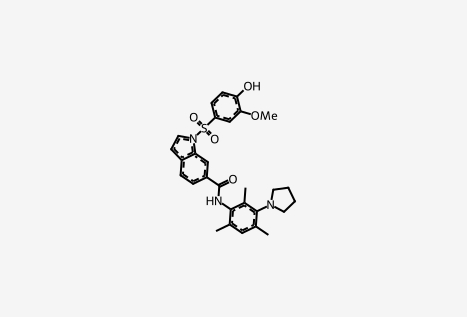 COc1cc(S(=O)(=O)n2ccc3ccc(C(=O)Nc4c(C)cc(C)c(N5CCCC5)c4C)cc32)ccc1O